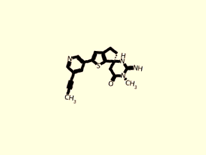 CC#Cc1cncc(-c2cc3c(s2)[C@]2(CC3)CC(=O)N(C)C(=N)N2)c1